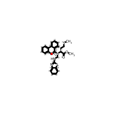 COC(=O)[C@H](CCSC)N(CNc1nc2ccccc2s1)C(=O)c1c(F)cccc1-c1ccccc1C